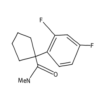 CNC(=O)C1(c2ccc(F)cc2F)CCCC1